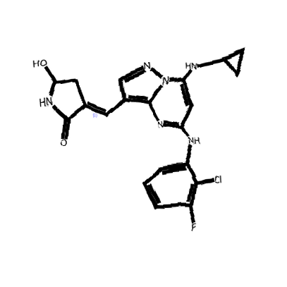 O=C1NC(O)C/C1=C\c1cnn2c(NC3CC3)cc(Nc3cccc(F)c3Cl)nc12